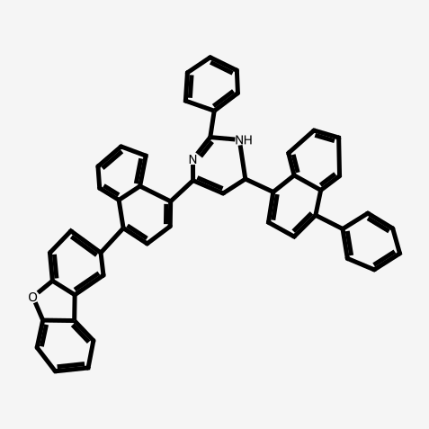 C1=C(c2ccc(-c3ccc4oc5ccccc5c4c3)c3ccccc23)N=C(c2ccccc2)NC1c1ccc(-c2ccccc2)c2ccccc12